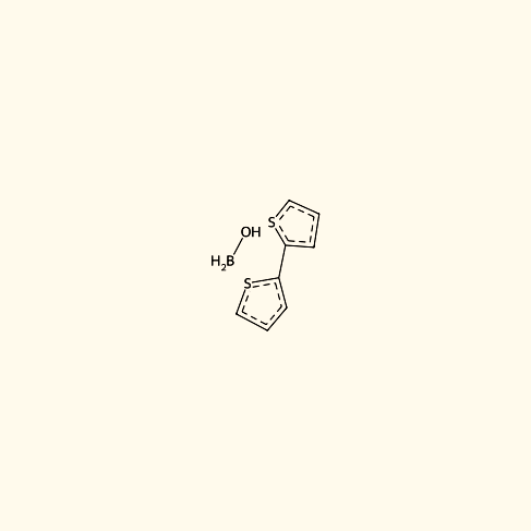 BO.c1csc(-c2cccs2)c1